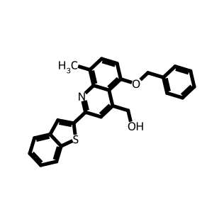 Cc1ccc(OCc2ccccc2)c2c(CO)cc(-c3cc4ccccc4s3)nc12